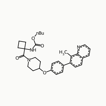 CCCCOC(=O)NC1(C(=O)N2CCC(Oc3ccc(-c4ccc5cccnc5c4C)cc3)CC2)CCC1